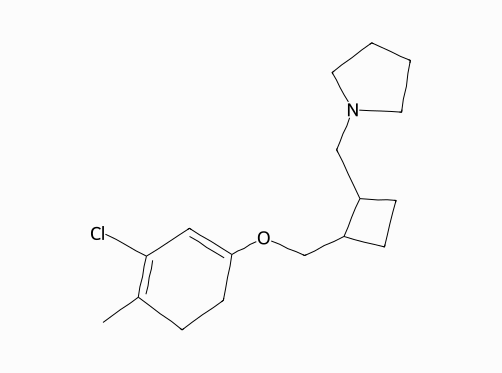 CC1=C(Cl)C=C(OCC2CCC2CN2CCCC2)CC1